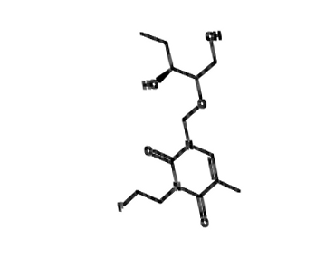 CC[C@H](O)C(CO)OCn1cc(C)c(=O)n(CCF)c1=O